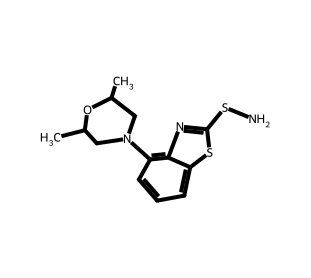 CC1CN(c2cccc3sc(SN)nc23)CC(C)O1